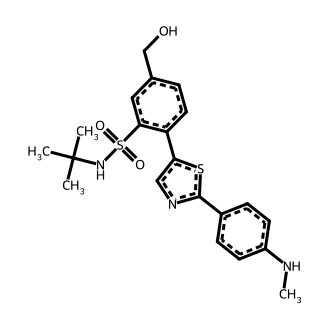 CNc1ccc(-c2ncc(-c3ccc(CO)cc3S(=O)(=O)NC(C)(C)C)s2)cc1